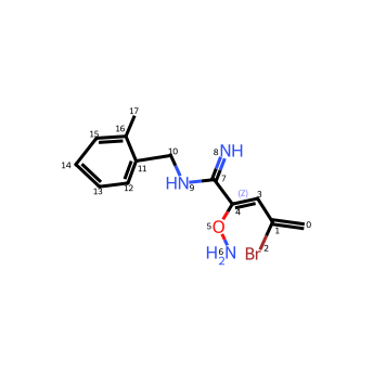 C=C(Br)/C=C(\ON)C(=N)NCc1ccccc1C